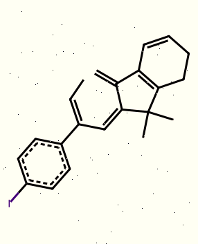 C=C1C2=C(CCC=C2)C(C)(C)/C1=C/C(=C\C)c1ccc(I)cc1